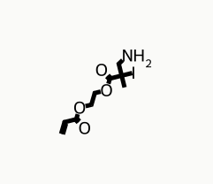 C=CC(=O)OCCOC(=O)C(C)(I)CN